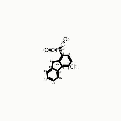 O=[C]=[Fe+](=[C]=O)[c]1cccc2c1Cc1ccccc1-2.[Cl-]